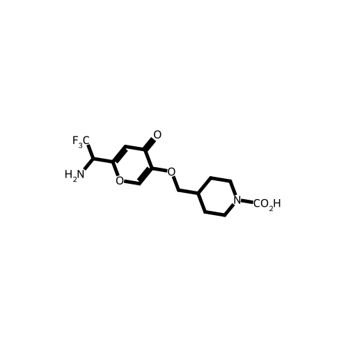 NC(c1cc(=O)c(OCC2CCN(C(=O)O)CC2)co1)C(F)(F)F